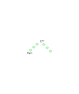 [C+4].[Cl-].[Cl-].[Cl-].[Cl-].[Cl-].[Cl-].[Fe+2]